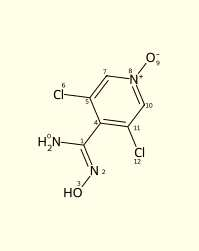 NC(=NO)c1c(Cl)c[n+]([O-])cc1Cl